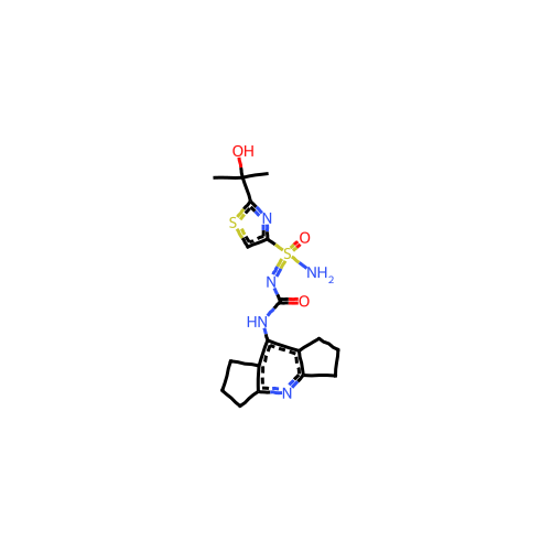 CC(C)(O)c1nc(S(N)(=O)=NC(=O)Nc2c3c(nc4c2CCC4)CCC3)cs1